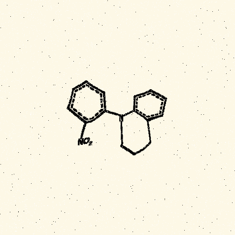 O=[N+]([O-])c1ccccc1N1CCCc2ccccc21